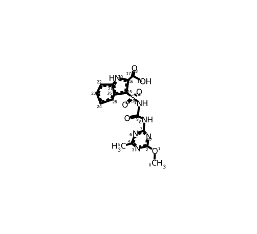 COc1nc(C)nc(NC(=O)NS(=O)(=O)c2c(C(=O)O)[nH]c3ccccc23)n1